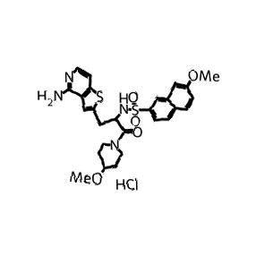 COc1ccc2ccc(S(=O)(=O)NC(Cc3cc4c(N)nccc4s3)C(=O)N3CCC(OC)CC3)cc2c1.Cl